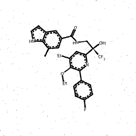 CCOc1c(CC)cc([C@@](O)(CNC(=O)c2cc(C)c3[nH]ccc3c2)C(F)(F)F)nc1-c1ccc(F)cc1